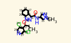 CCC(On1nc(C(=O)Nc2cnn(C)c2)c2ccccc21)c1c(Cl)cncc1Cl